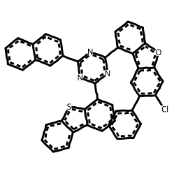 Clc1cc2oc3cccc(-c4nc(-c5ccc6ccccc6c5)nc(-c5cccc6c5sc5ccccc56)n4)c3c2cc1-c1ccccc1